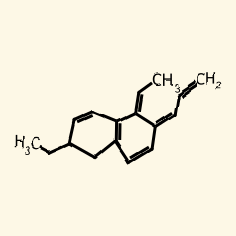 C=C/C=c1/ccc2c(/c1=C/C)C=CC(CC)C2